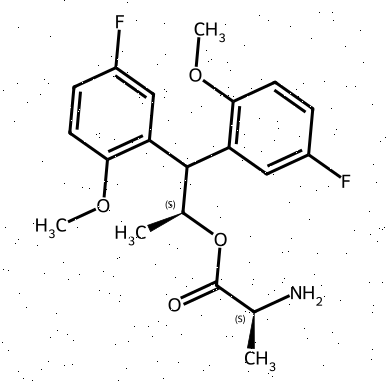 COc1ccc(F)cc1C(c1cc(F)ccc1OC)[C@H](C)OC(=O)[C@H](C)N